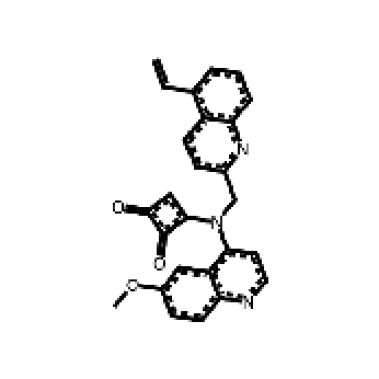 C=Cc1cccc2nc(CN(c3cc(=O)c3=O)c3ccnc4ccc(OC)cc34)ccc12